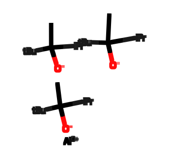 CC(C)C(C)([O-])C(C)(C)C.CC(C)C(C)([O-])C(C)(C)C.CC(C)C(C)([O-])C(C)(C)C.[Al+3]